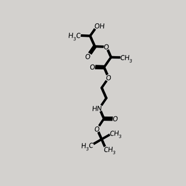 CC(O)C(=O)OC(C)C(=O)OCCNC(=O)OC(C)(C)C